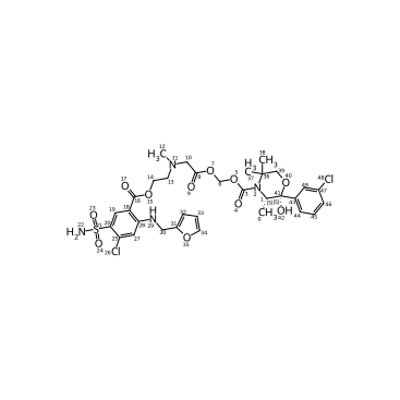 C[C@@H]1N(C(=O)OCOC(=O)CN(C)CCOC(=O)c2cc(S(N)(=O)=O)c(Cl)cc2NCc2ccco2)C(C)(C)CO[C@@]1(O)c1cccc(Cl)c1